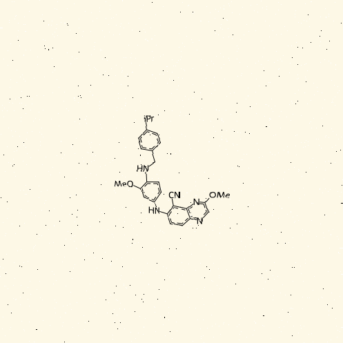 COc1cnc2ccc(Nc3ccc(NCc4ccc(C(C)C)cc4)c(OC)c3)c(C#N)c2n1